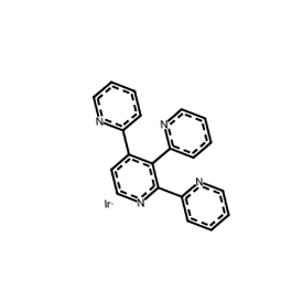 [Ir].c1ccc(-c2ccnc(-c3ccccn3)c2-c2ccccn2)nc1